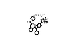 CCOC(=O)CN1CCN(C(=O)C2=Cc3ccccc3-c3c(C4CCCCC4)c4ccc(C(=O)NS(=O)(=O)N(C)C)cc4n3C2)CC1